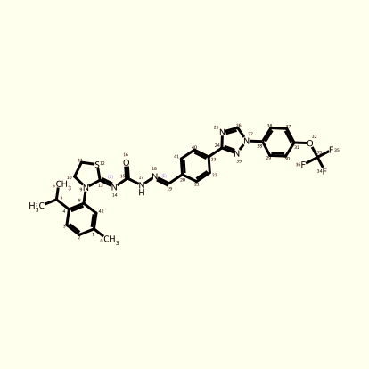 Cc1ccc(C(C)C)c(N2CCS/C2=N\C(=O)N/N=C/c2ccc(-c3ncn(-c4ccc(OC(F)(F)F)cc4)n3)cc2)c1